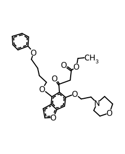 CCOC(=O)CC(=O)c1c(OCCN2CCOCC2)cc2occc2c1OCCCCOc1ccccc1